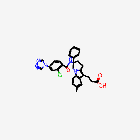 Cc1ccc2c(c1)c(CCC(=O)O)c1n2CC(NC(=O)c2ccc(-n3cnnc3)cc2Cl)(c2ccccc2)CC1